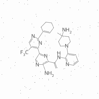 C=C(Nc1ncccc1N1CCC(C)(N)CC1)c1nc(-c2nc(C3=CCCCC3)ncc2C(F)(F)F)cnc1N